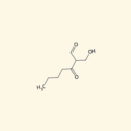 CCCCC(=O)C([C]=O)CO